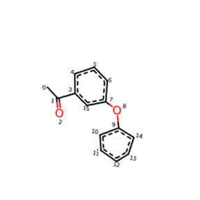 CC(=O)c1cccc(Oc2c[c]ccc2)c1